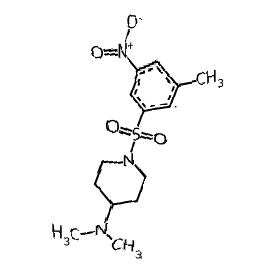 Cc1[c]c(S(=O)(=O)N2CCC(N(C)C)CC2)cc([N+](=O)[O-])c1